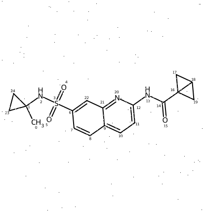 CC1(NS(=O)(=O)c2ccc3ccc(NC(=O)C45CC4C5)nc3c2)CC1